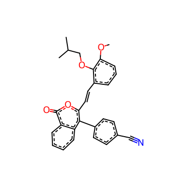 COc1cccc(C=Cc2oc(=O)c3ccccc3c2-c2ccc(C#N)cc2)c1OCC(C)C